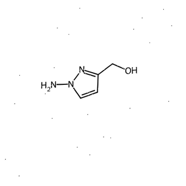 Nn1ccc(CO)n1